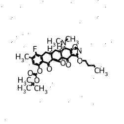 CCCCOc1noc2c1C(=O)[C@@]13OC1=C1C(=O)c4c(OC(=O)OC(C)(C)C)cc(C)c(F)c4C[C@H]1C[C@H]3[C@@H]2N(C)C